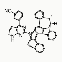 C[C@H]1c2ccccc2-c2cc3c(c4c2C[C@H]1c1ccccc1-4)c1c2ccccc2ccc1n3-c1nc2c(c(-c3cccc(C#N)c3)n1)C=CCN2